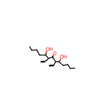 C=CC(C(=O)C(C=C)C(O)CCCC)C(O)CCCC